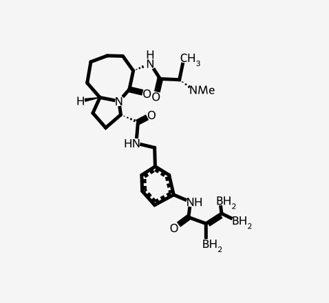 BC(B)=C(B)C(=O)Nc1cccc(CNC(=O)[C@@H]2CC[C@@H]3CCCC[C@H](NC(=O)[C@H](C)NC)C(=O)N32)c1